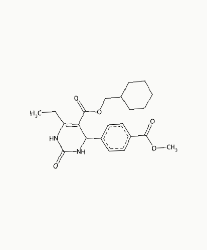 CCC1=C(C(=O)OCC2CCCCC2)C(c2ccc(C(=O)OC)cc2)NC(=O)N1